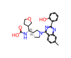 Cc1ccc2c(N3CC[C@H]([C@H](NC(=O)O)C4CCOC4)C3)nc(-c3ccccc3O)nc2c1